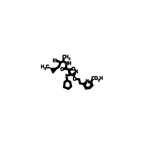 CCC(CC1C[C@@H]1C)C(C)NC(=O)c1onc(OCCc2cccc(C(=O)O)n2)c1SC1CCCCC1